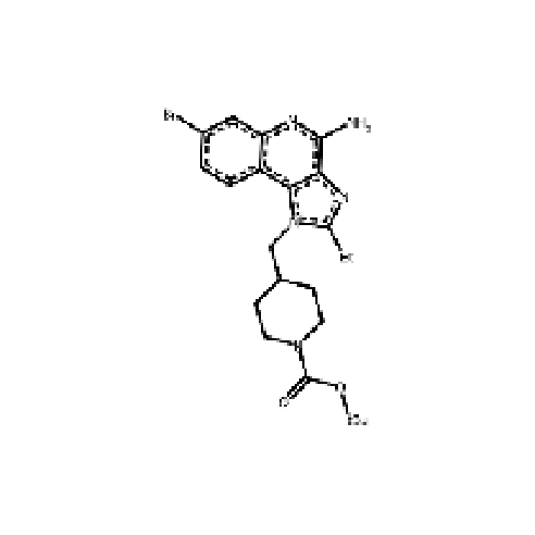 CCc1nc2c(N)nc3cc(Br)ccc3c2n1CC1CCN(C(=O)OC(C)(C)C)CC1